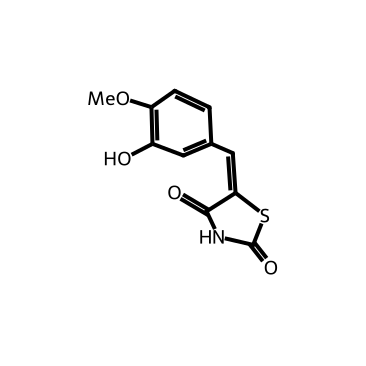 COc1ccc(C=C2SC(=O)NC2=O)cc1O